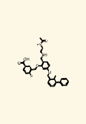 CC(=O)NCCNCc1ccc(OCc2cccc(-c3ccccc3)c2C)cc1OCc1cc(C(=O)O)ccc1F